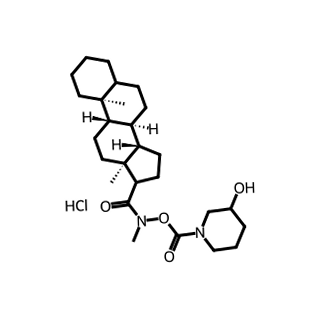 CN(OC(=O)N1CCCC(O)C1)C(=O)C1CC[C@H]2[C@@H]3CCC4CCCC[C@]4(C)[C@H]3CC[C@]12C.Cl